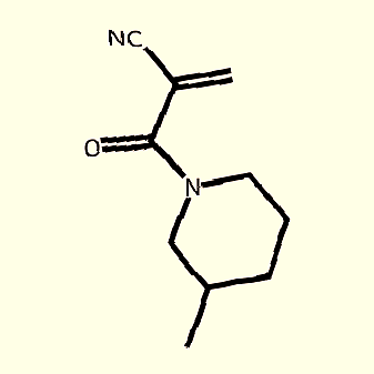 C=C(C#N)C(=O)N1CCCC(C)C1